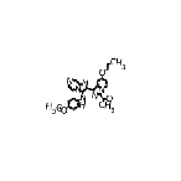 CCCOc1ccn2c(C(C)=O)nc(-c3nc4cnccn4c3Nc3ccc(OC)cc3)c2c1